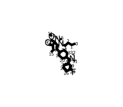 CCCCN1C=NC(C(=O)OC)(C(C)CC)C1CC1CCC(C(c2cccc(F)c2)N(C)C)CC1